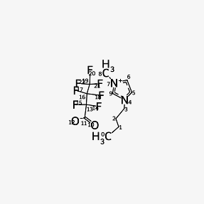 CCCCn1cc[n+](C)c1.O=C([O-])C(F)(F)C(F)(F)C(F)(F)F